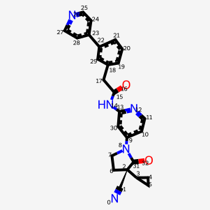 N#C[C@@]1(C2CC2)CCN(c2ccnc(NC(=O)Cc3cccc(-c4ccncc4)c3)c2)C1=O